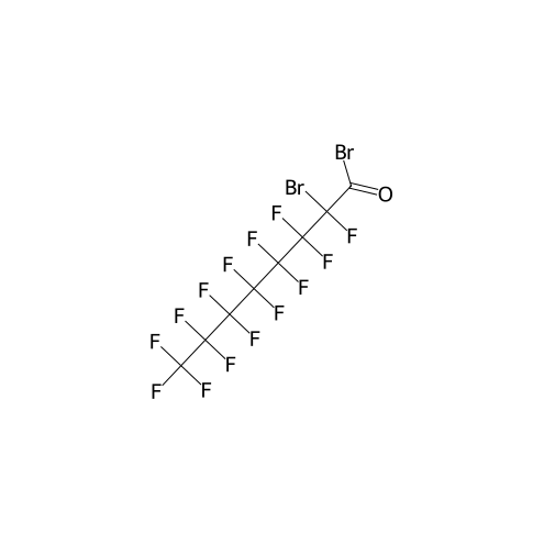 O=C(Br)C(F)(Br)C(F)(F)C(F)(F)C(F)(F)C(F)(F)C(F)(F)C(F)(F)F